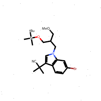 COCC(CO[Si](C)(C)C(C)(C)C)Cn1cc(C(C)(C)C#N)c2ccc(Br)cc21